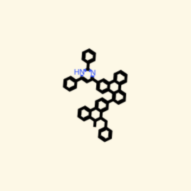 CC1c2ccccc2-c2ccc(-c3cccc4c5ccccc5c5cc(C6=NC(c7ccccc7)NC(c7ccccc7)=C6)ccc5c34)cc2C1Cc1ccccc1